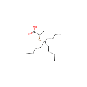 CCC[CH2][Sn]([CH2]CCC)([CH2]CCC)[S]C(C)C(=O)O